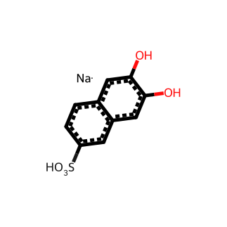 O=S(=O)(O)c1ccc2cc(O)c(O)cc2c1.[Na]